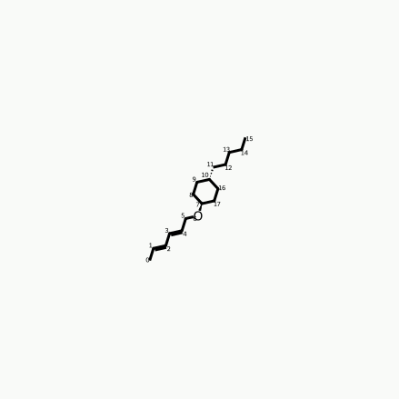 CC=CC=CCO[C@H]1CC[C@H](CCCCC)CC1